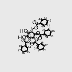 O=C(OC[C@H]1[C@@H](O)[C@@H](O)[C@H](OC(=O)c2ccccc2)[C@@H](OC(=O)c2ccccc2)[C@H]1OC(=O)c1ccccc1)c1ccccc1